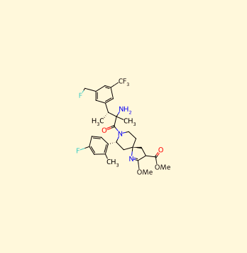 COC(=O)C1C[C@@]2(CCN(C(=O)C(C)(N)[C@H](C)c3cc(CF)cc(C(F)(F)F)c3)[C@@H](c3ccc(F)cc3C)C2)N=C1OC